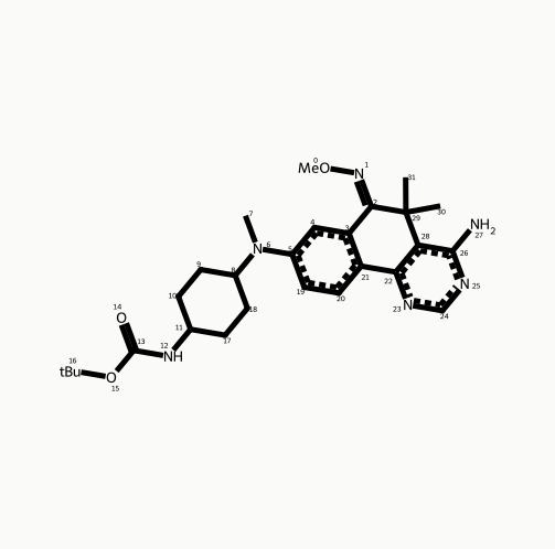 CO/N=C1\c2cc(N(C)C3CCC(NC(=O)OC(C)(C)C)CC3)ccc2-c2ncnc(N)c2C1(C)C